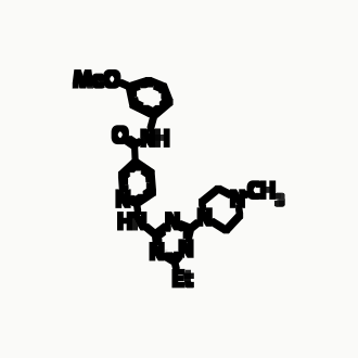 CCc1nc(Nc2ccc(C(=O)Nc3cccc(OC)c3)cn2)nc(N2CCN(C)CC2)n1